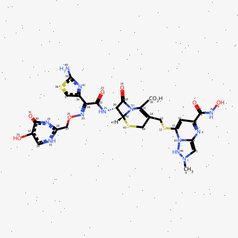 CN1C=C2N=C(C(=O)NO)C=C(SCC3=C(C(=O)O)N4C(=O)[C@@H](NC(=O)C(=NOCc5nc(=O)c(O)c[nH]5)c5csc(N)n5)[C@H]4SC3)N2N1